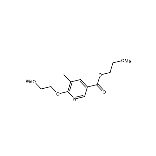 COCCOC(=O)c1cnc(OCCOC)c(C)c1